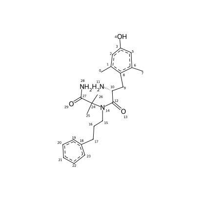 Cc1cc(O)cc(C)c1C[C@@H](N)C(=O)N(CCCc1ccccc1)C(C)(C)C(N)=O